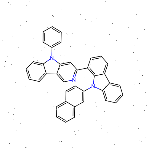 c1ccc(-n2c3ccccc3c3cnc(-c4cccc5c6ccccc6n(-c6ccc7ccccc7c6)c45)cc32)cc1